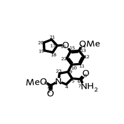 COC(=O)N1CC(C(N)=O)C(c2ccc(OC)c(OC3CCCC3)c2)C1